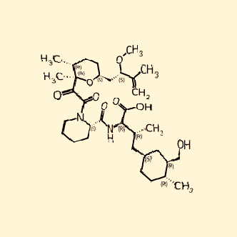 C=C(C)[C@H](C[C@@H]1CC[C@@H](C)[C@](C)(C(=O)C(=O)N2CCCC[C@H]2C(=O)N[C@@H](C(=O)O)[C@H](C)C[C@@H]2CC[C@@H](C)[C@H](CO)C2)O1)OC